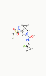 O=C(NCC1(F)CC1)N1C[C@@H](NS(=O)(=O)CF)C2(CC2)C1